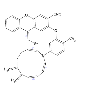 C=C1/C=C\C=C/N(c2ccc(C)c(Oc3cc4c(cc3C=O)Oc3ccccc3/C4=C/CC)c2)/C=C\CCC1=C